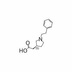 O=C(O)C[C@@H]1CCN(CCc2ccccc2)C1